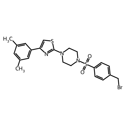 Cc1cc(C)cc(-c2csc(N3CCN(S(=O)(=O)c4ccc(CBr)cc4)CC3)n2)c1